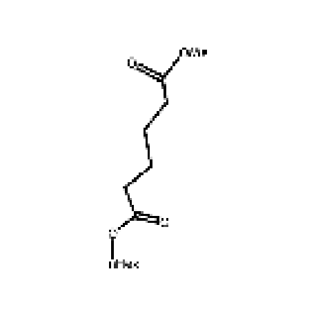 CCCCCCOC(=O)CCCCC(=O)OC